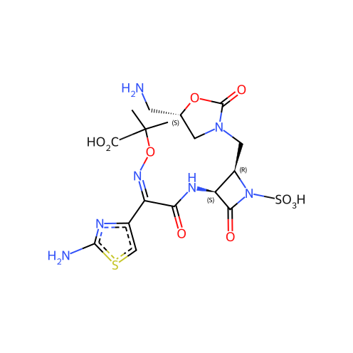 CC(C)(ON=C(C(=O)N[C@@H]1C(=O)N(S(=O)(=O)O)[C@@H]1CN1C[C@H](CN)OC1=O)c1csc(N)n1)C(=O)O